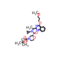 COCCCOc1nc([C@H](C)N(C(=O)[C@H]2CN(C(=O)OC(C)(C)C)CCO2)C2CC2)nc2ccccc12